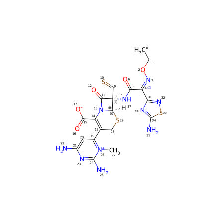 CCO/N=C(\C(=O)N[C@@]1(C=S)C(=O)N2C(C(=O)[O-])=C(c3cc(N)nc(N)[n+]3C)CS[C@@H]21)c1nsc(N)n1